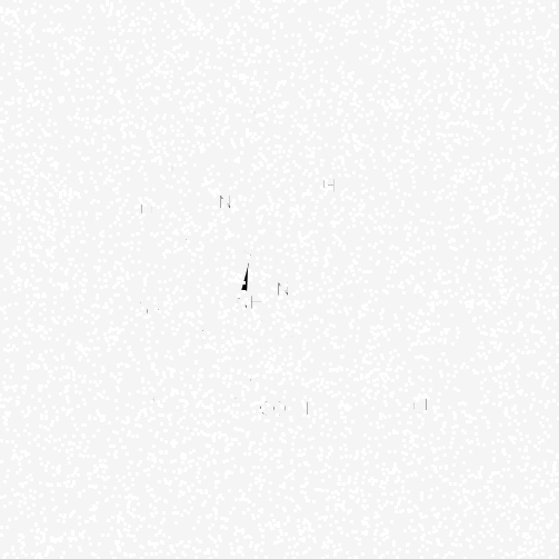 O=C(O)c1ccc(N2[C@@H]3CC[C@H]2C[C@@H](NC(=O)C2(c4ccc(Cl)cc4)CC2)C3)nc1